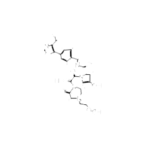 CCc1ncsc1-c1ccc(CNC(=O)[C@@H]2CC(O)=CN2C(=O)[C@@H](C)N2CCN(CCOC)CC2=O)cc1